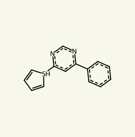 C1=C[SH](c2cc(-c3ccccc3)ncn2)C=C1